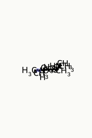 CC(C)/C=C/CNC(=O)OCCOCSSC(C)(C)CNC(C)C